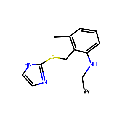 Cc1cccc(NCC(C)C)c1CSc1ncc[nH]1